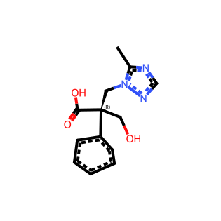 Cc1ncnn1C[C@](CO)(C(=O)O)c1ccccc1